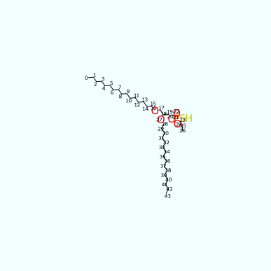 CCCCCCCCCCCCCCCCOCC(COP(=O)(S)OCC)OCCCCCCCCCCCCCCCC